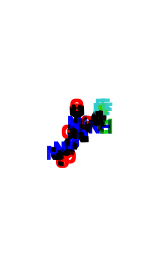 CCc1c(N2CCN(C(=O)c3ncncc3OC)CC2)c(=O)n2nc(C3=CCOCC3)nc2n1CC(=O)Nc1ccc(S(F)(F)(F)(F)F)cc1Cl